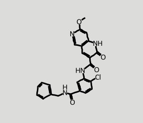 COc1cc2[nH]c(=O)c(C(=O)Nc3cc(C(=O)NCc4ccccc4)ccc3Cl)cc2cn1